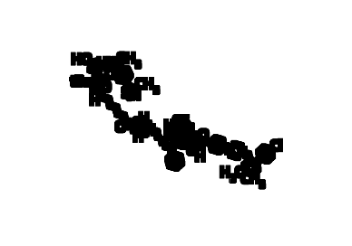 Cc1ncsc1-c1ccc([C@H](C)NC(=O)[C@@H]2C[C@@H](O)CN2C(=O)[C@@H](NC(=O)CCCCCCC(=O)N2C[C@H]3CN(CC[C@H](CSc4ccccc4)Nc4ccc(S(=O)(=O)NC(=O)c5ccc(N6CCN(CC7=C(c8ccc(Cl)cc8)CCC(C)(C)C7)CC6)cc5)cc4S(=O)(=O)C(F)(F)F)C[C@H]3C2)C(C)(C)C)cc1